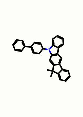 CC1(C)c2ccccc2-c2cc3c4ccccc4n(C4C=CC(c5ccccc5)=CC4)c3cc21